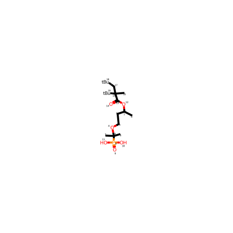 CC(CCOC(C)(C)P(=O)(O)O)OC(=O)C(C)(CC(C)(C)C)C(C)(C)C